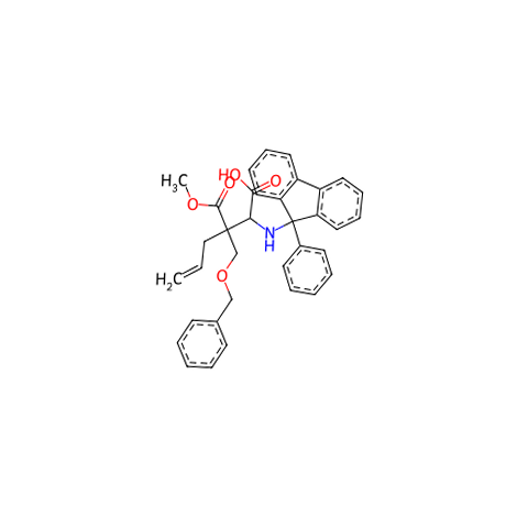 C=CCC(COCc1ccccc1)(C(=O)OC)C(NC1(c2ccccc2)c2ccccc2-c2ccccc21)C(=O)O